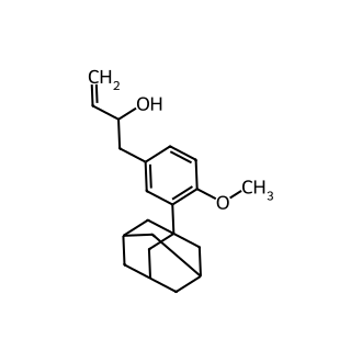 C=CC(O)Cc1ccc(OC)c(C23CC4CC(CC(C4)C2)C3)c1